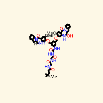 COc1cc2c(cc1OCc1cc(COc3cc4c(cc3OC)C(=O)N3c5ccccc5C[C@H]3CN4)cc(NC(=O)CNC(=O)CNC(=O)CNC(=O)CCC(C)(C)SC)c1)N[C@H](O)C1Cc3ccccc3N1C2=O